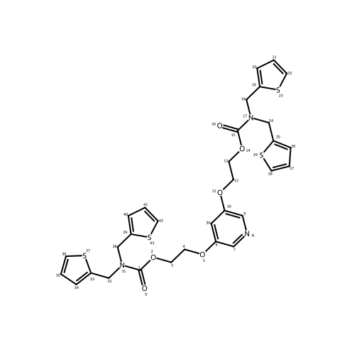 O=C(OCCOc1cncc(OCCOC(=O)N(Cc2cccs2)Cc2cccs2)c1)N(Cc1cccs1)Cc1cccs1